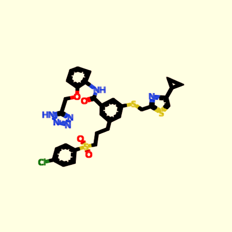 O=C(Nc1ccccc1OCc1nnn[nH]1)c1cc(CCCS(=O)(=O)c2ccc(Cl)cc2)cc(SCc2nc(C3CC3)cs2)c1